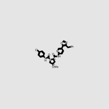 CO[C@@H]1C[C@H](C(=O)Nc2ccc(-c3ocnc3CC(C)C)cn2)N(C(=O)Nc2ccc(Cl)cc2)C1